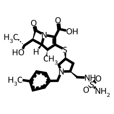 Cc1ccc(CN2C[C@@H](SC3=C(C(=O)O)N4C(=O)[C@H]([C@@H](C)O)[C@H]4[C@H]3C)C[C@H]2CNS(N)(=O)=O)cc1